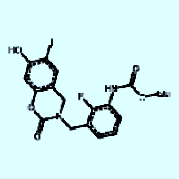 CC(C)(C)OC(=O)Nc1cccc(CN2Cc3cc(I)c(O)cc3OC2=O)c1F